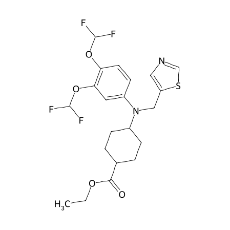 CCOC(=O)C1CCC(N(Cc2cncs2)c2ccc(OC(F)F)c(OC(F)F)c2)CC1